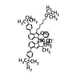 CC1=C(CCCCCCOC(C)(C)C)c2c(-c3ccc(C(C)(C)C)cc3)cccc2[CH]1[Zr+2]([CH]1C(C(C)C)=Cc2c(-c3ccc(C(C)(C)C)cc3)cccc21)=[Si](C)c1ccccc1.[Cl-].[Cl-]